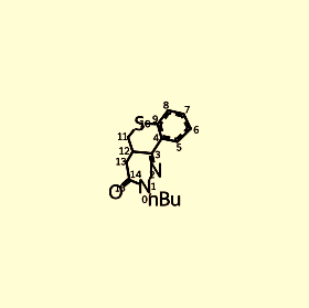 CCCCN1N=C2c3ccccc3SCC2CC1=O